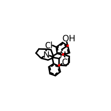 OCCN1CCCCC1C1CC2CCC(C1)N2C(c1ccccc1Cl)c1ccccc1Cl